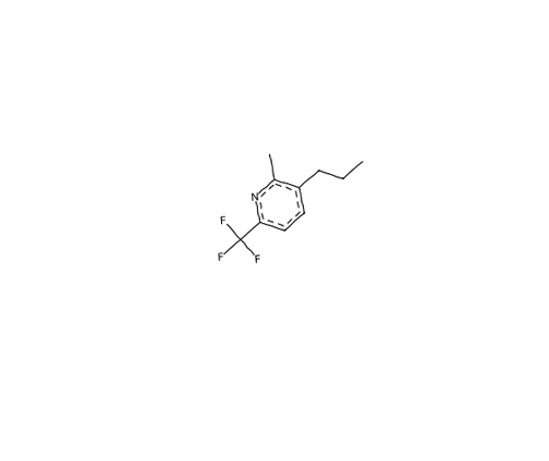 CCCc1ccc(C(F)(F)F)nc1C